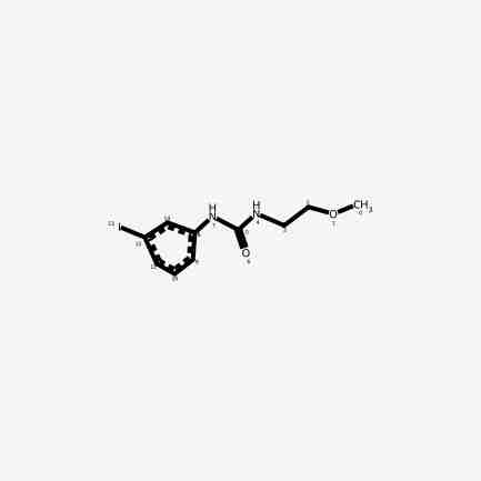 COCCNC(=O)Nc1cccc(I)c1